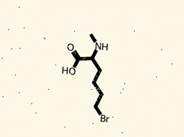 CNC(CCCCBr)C(=O)O